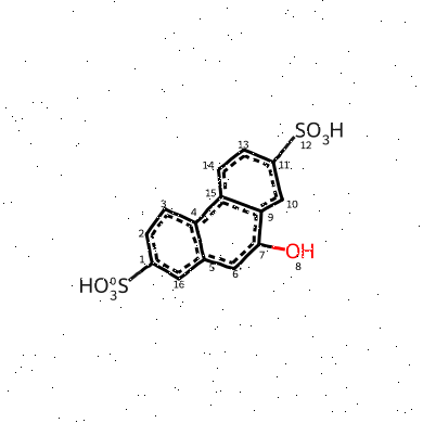 O=S(=O)(O)c1ccc2c([c]c(O)c3cc(S(=O)(=O)O)ccc32)c1